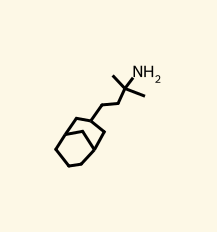 CC(C)(N)CCC1CC2CCCC(C2)C1